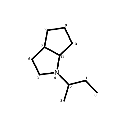 CCC(C)N1CCC2CCCC21